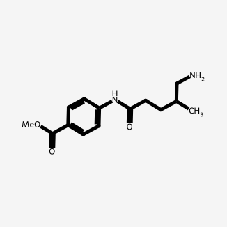 COC(=O)c1ccc(NC(=O)CCC(C)CN)cc1